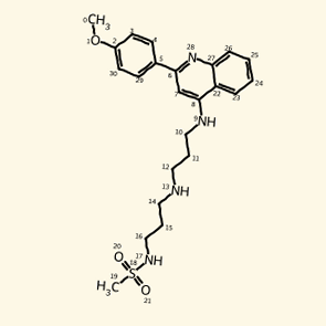 COc1ccc(-c2cc(NCCCNCCCNS(C)(=O)=O)c3ccccc3n2)cc1